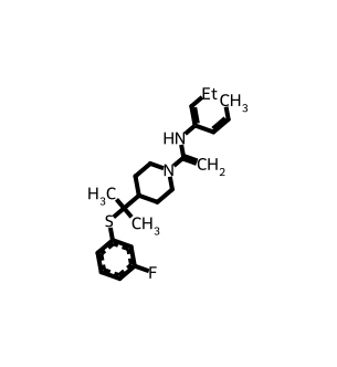 C=C(NC(/C=C\C)=C/CC)N1CCC(C(C)(C)Sc2cccc(F)c2)CC1